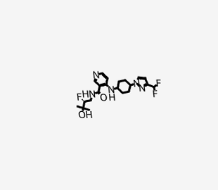 CC(C)(O)[C@H](F)CNC(=O)c1cnccc1NC1CCC(n2ccc(C(F)F)n2)CC1